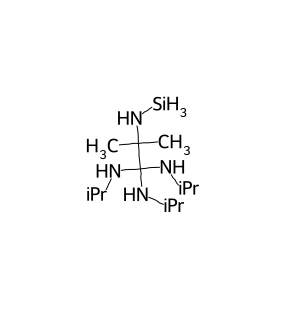 CC(C)NC(NC(C)C)(NC(C)C)C(C)(C)N[SiH3]